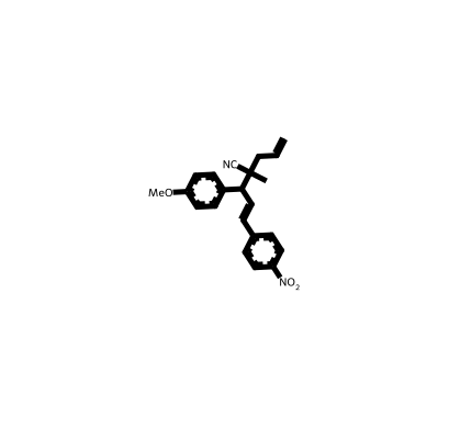 C=CCC(C)(C#N)C(/C=C/c1ccc([N+](=O)[O-])cc1)c1ccc(OC)cc1